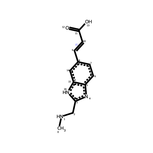 CNCc1nc2ccc(/C=C/C(=O)O)cc2[nH]1